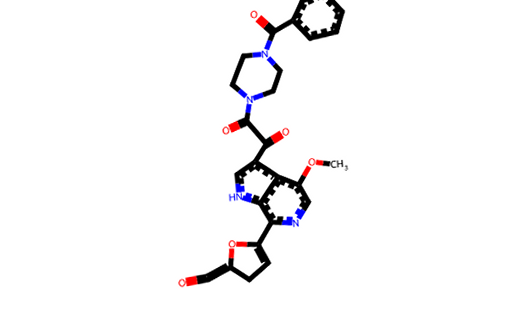 COc1cnc(C2=CCC(=C=O)O2)c2[nH]cc(C(=O)C(=O)N3CCN(C(=O)c4ccccc4)CC3)c12